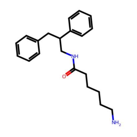 NCCCCCC(=O)NCC(Cc1ccccc1)c1ccccc1